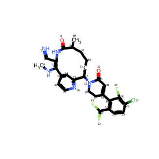 CN/C1=C(\C=N)NC(=O)C(C)CCCC(N2CCC(c3c(C(F)F)ccc(Cl)c3F)=CC2=O)c2cc1ccn2